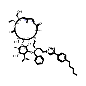 CCCCCc1ccc(-c2cn(CCN(CC[C@H]3C[C@@H](C)C(=O)/C=C/C(C)=C/[C@H](CO)[C@@H](CC)OC(=O)C[C@@H](O)[C@H](C)[C@H]3O[C@@H]3O[C@H](C)[C@@H](O)C(N(C)C)C3O)Cc3ccccc3)nn2)cc1